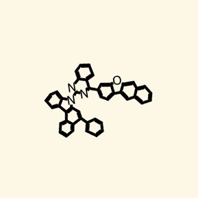 c1ccc(-c2cc3c(c4ccccc24)c2ccccc2n3-c2nc(-c3ccc4c(c3)oc3cc5ccccc5cc34)c3ccccc3n2)cc1